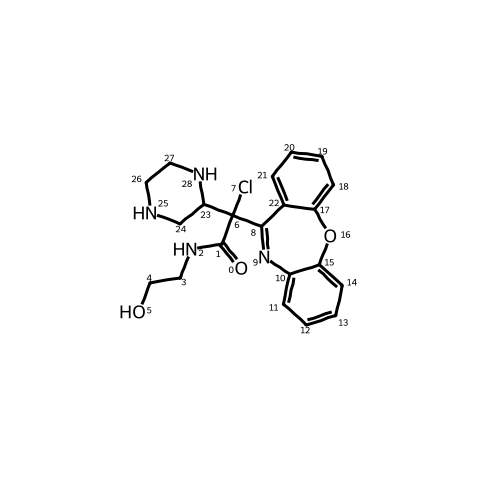 O=C(NCCO)C(Cl)(C1=Nc2ccccc2Oc2ccccc21)C1CNCCN1